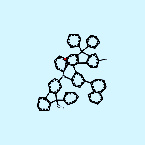 CC1(c2ccccc2)c2ccccc2-c2ccc(N(c3ccccc3)c3ccc(-c4cccc5ccccc45)cc3-c3cccc4c3-c3ccc(F)cc3C4(c3ccccc3)c3ccccc3)cc21